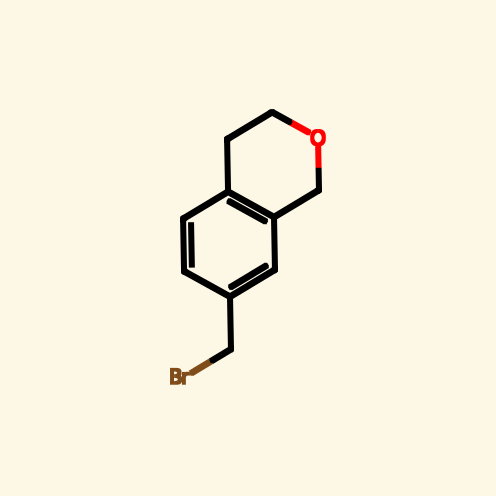 BrCc1ccc2c(c1)COCC2